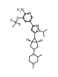 CC1CN(C)CCN1C1C[C@@H]2C(c3cc(-c4cnc(N)c(OC(F)(F)F)c4)nn3C(C)C)[C@@H]2C1